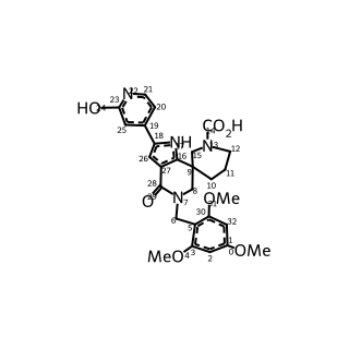 COc1cc(OC)c(CN2CC3(CCCN(C(=O)O)C3)c3[nH]c(-c4ccnc(O)c4)cc3C2=O)c(OC)c1